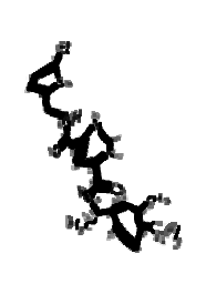 CCc1ccc(CNC(=O)c2cc(C(=O)N[C@@H](C)c3ccc(C)c(C)c3)ncn2)s1